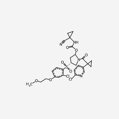 COCCOc1ccc(S(=O)(=O)[C@@H]2CC(OC(=O)NC3(C#N)CC3)N(C(=O)C3(c4ccc(Cl)nc4)CC3)C2)c(Cl)c1